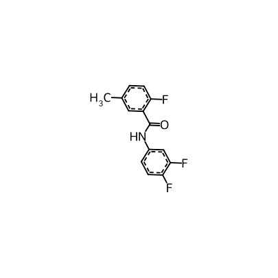 Cc1ccc(F)c(C(=O)Nc2ccc(F)c(F)c2)c1